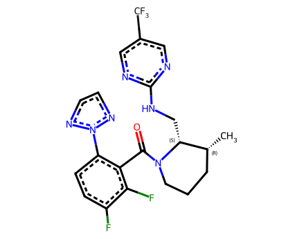 C[C@@H]1CCCN(C(=O)c2c(-n3nccn3)ccc(F)c2F)[C@@H]1CNc1ncc(C(F)(F)F)cn1